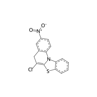 O=[N+]([O-])c1ccc2c(c1)CC(Cl)=C1Sc3ccccc3N12